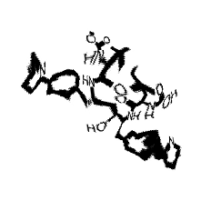 COC(=O)N[C@H](C(=O)N[C@@H](Cc1ccc(-c2ccccn2)cc1)C[C@H](O)[C@H](Cc1ccc(-c2ccccn2)cc1)NC(=O)[C@H](NC(=O)O)C(C)(C)C)C(C)(C)C